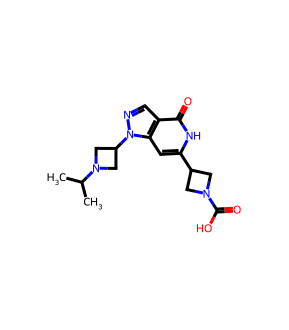 CC(C)N1CC(n2ncc3c(=O)[nH]c(C4CN(C(=O)O)C4)cc32)C1